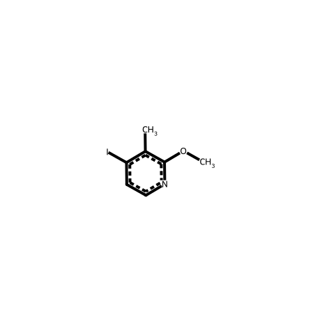 COc1nccc(I)c1C